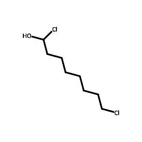 OC(Cl)CCCCCCCCl